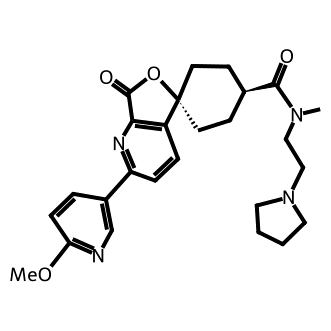 COc1ccc(-c2ccc3c(n2)C(=O)O[C@]32CC[C@H](C(=O)N(C)CCN3CCCC3)CC2)cn1